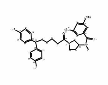 CN(C(=O)c1cc(C(C)(C)C)cc(C(C)(C)C)c1)C1CCN(C(=O)CCCCC(c2ccc(F)cc2)c2ccc(F)cc2)C1